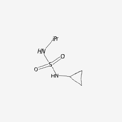 CC(C)NS(=O)(=O)NC1CC1